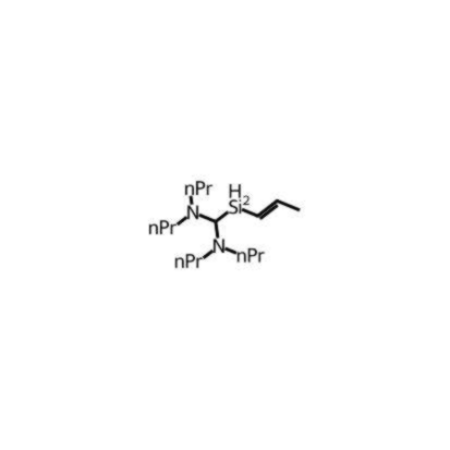 CC=C[SiH2]C(N(CCC)CCC)N(CCC)CCC